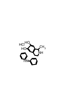 CC1NCCc2cc(O)c(O)cc21.Cl.c1ccc(Nc2ccccc2)cc1